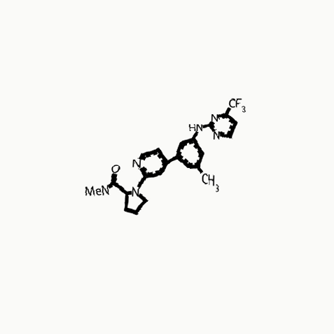 CNC(=O)C1CCCN1c1cc(-c2cc(C)cc(Nc3nccc(C(F)(F)F)n3)c2)ccn1